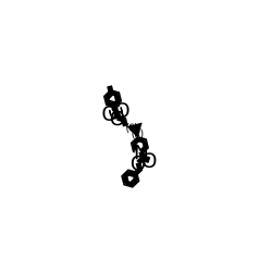 Cc1ccc(S(=O)(=O)OCC[C@@H]2C[C@@H]2C2CCN(C(=O)OCc3ccccc3)CC2)cc1